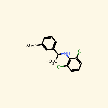 COc1cccc(C(Nc2c(Cl)cccc2Cl)C(=O)O)c1